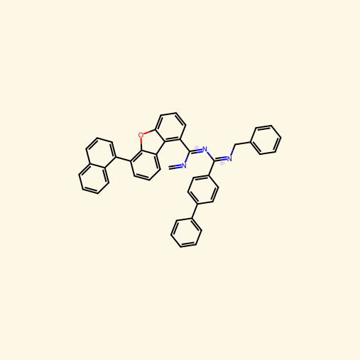 C=N/C(=N\C(=N/Cc1ccccc1)c1ccc(-c2ccccc2)cc1)c1cccc2oc3c(-c4cccc5ccccc45)cccc3c12